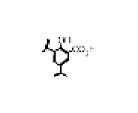 C=C(C)c1cc(C(=C)C)c(O)c(C(=O)O)c1